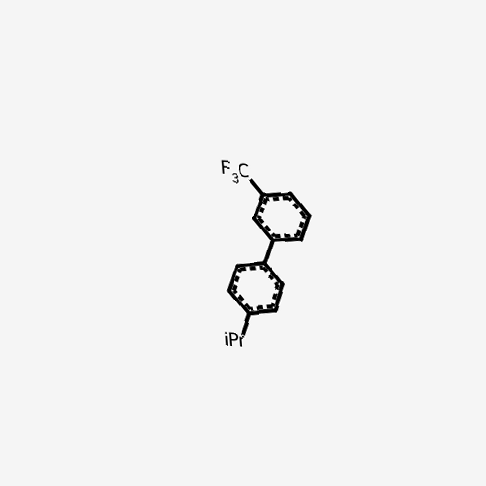 CC(C)c1ccc(-c2cccc(C(F)(F)F)c2)cc1